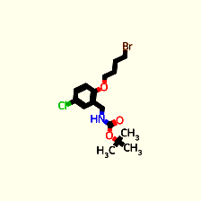 CC(C)(C)OC(=O)NCc1cc(Cl)ccc1OCCCCBr